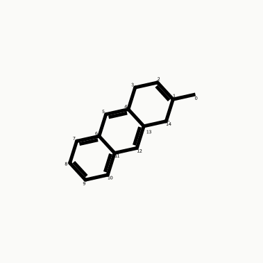 CC1=CCc2cc3ccccc3cc2[CH]1